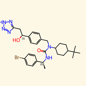 C[C@H](NC(=O)N(Cc1ccc([C@@H](O)Cc2nn[nH]n2)cc1)C1CCC(C(C)(C)C)CC1)c1ccc(Br)cc1